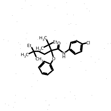 CCC(C)(C)CCC(Oc1ccccc1)(C(=O)Nc1c[c]c(Cl)cc1)C(C)(C)CC